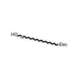 CCCCCCCCCCCCCCCCCCCCCCCCCCN=CCO